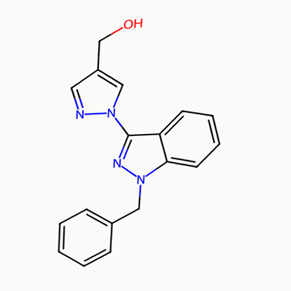 OCc1cnn(-c2nn(Cc3ccccc3)c3ccccc23)c1